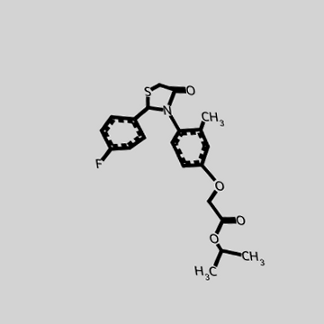 Cc1cc(OCC(=O)OC(C)C)ccc1N1C(=O)CSC1c1ccc(F)cc1